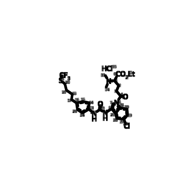 CCOC(=O)C(CCC(=O)n1cc(NC(=O)Nc2ccc(CCCCSC(F)(F)F)cc2)c2cc(Cl)ccc21)N(C)C.Cl